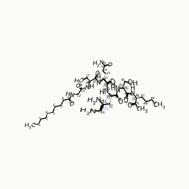 CCCCCCCCCC(=O)NCC(=O)N[C@@H](CO)C(=O)N[C@H](CCC(N)=O)C(=O)N[C@@H](C/C(N)=C/N)C(=O)N[C@@H](CO)C(=O)N[C@@H](CCCC)C(C)=O